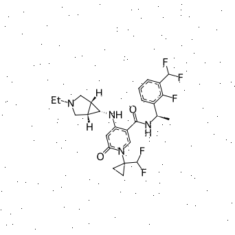 CCN1C[C@@H]2[C@H](C1)[C@@H]2Nc1cc(=O)n(C2(C(F)F)CC2)cc1C(=O)N[C@H](C)c1cccc(C(F)F)c1F